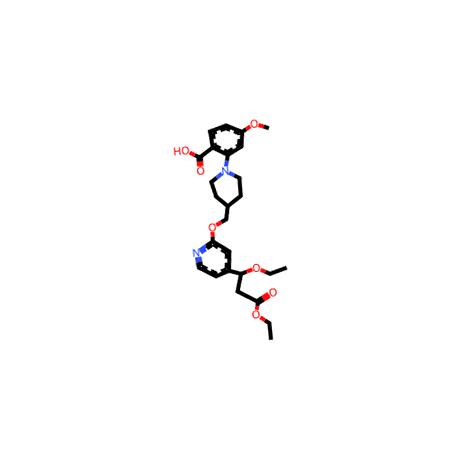 CCOC(=O)CC(OCC)c1ccnc(OCC2CCN(c3cc(OC)ccc3C(=O)O)CC2)c1